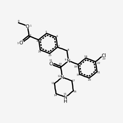 COC(=O)c1ccc(CN(C(=O)N2CCNCC2)c2cccc(Cl)c2)cc1